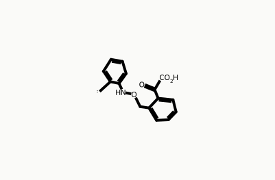 [CH]c1ccccc1NOCc1ccccc1C(=O)C(=O)O